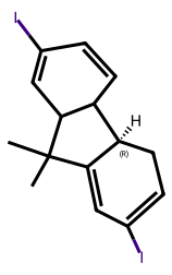 CC1(C)C2=CC(I)=CC[C@@H]2C2C=CC(I)=CC21